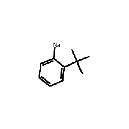 CC(C)(C)c1cccc[c]1[Na]